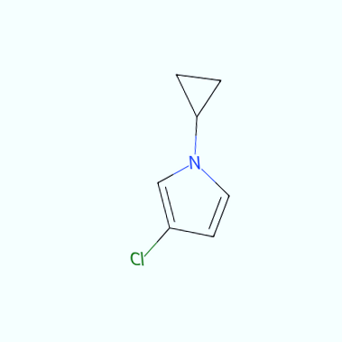 Clc1ccn(C2CC2)c1